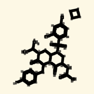 C1CCC1.CC(C)N1CC2N(C(=O)C(NC(=O)O)CN2S(=O)(=O)c2ccc(Cl)cc2Cl)C(Cc2ccc(F)cc2)C1=O